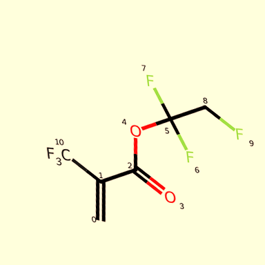 C=C(C(=O)OC(F)(F)CF)C(F)(F)F